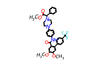 COC(=O)C(c1ccccc1)N1CCN(c2ccc(NC(=O)c3cc(OC)c(OC)cc3-c3ccc(C(F)(F)F)cc3)cc2)CC1